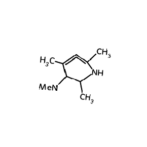 CNC1C(C)=C=C(C)NC1C